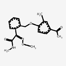 CNC(=O)C(=NOC)c1ccccc1COc1ccc(C(C)=O)cc1C